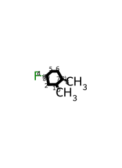 CC1C[C@H](F)CC[C@H]1C